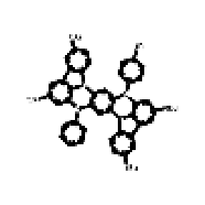 CC(C)(C)c1ccc(N2c3cc4c(cc3B3c5ccc(C(C)(C)C)cc5-c5cc(C(C)(C)C)cc2c53)N(c2ccccc2)c2cc(C(C)(C)C)cc3c2B4c2ccc(C(C)(C)C)cc2-3)cc1